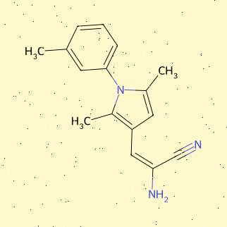 Cc1cccc(-n2c(C)cc(/C=C(/N)C#N)c2C)c1